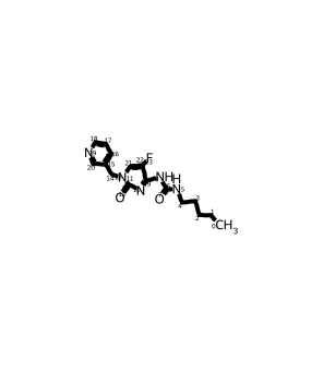 CCCCCNC(=O)Nc1nc(=O)n(Cc2cccnc2)cc1F